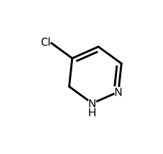 ClC1=CC=NNC1